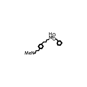 CNCCCc1ccc(CCCCNC(=O)OCc2ccccc2)cc1